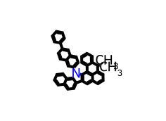 CC1(C)c2ccccc2-c2c3c1cccc3cc1c3ccc4ccccc4c3n(-c3ccc4cc(-c5ccccc5)ccc4c3)c21